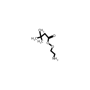 CC(C)(C)CC(=O)OOCCN